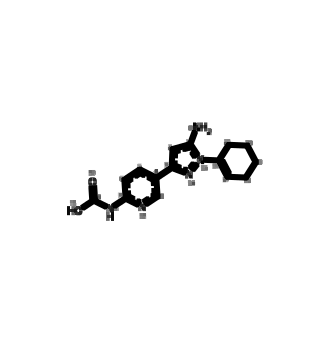 Nc1cc(-c2ccc(NC(=O)O)nc2)nn1C1=CCCCC1